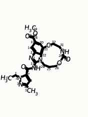 CCn1nc(C)cc1C(=O)Nc1nc2cc(C(=O)OC)cc3c2n1CCCOC(=O)NCCC3